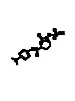 CN(C)c1ccc(NC(=O)C2CCC3CN2C(=O)N3OS(=O)(=O)O)cc1